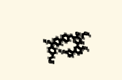 CCC[C@H](NC(=O)c1cc(-c2cnn(C)c2)cnc1N)[C@H](C)OCc1ccc(-c2ccc(C(C)N3CCN(CCO)CC3)cc2)cc1